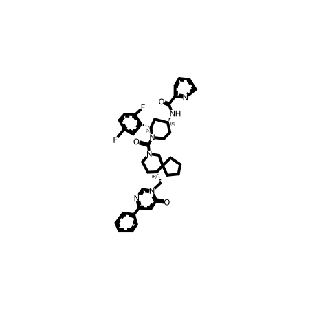 O=C(N[C@@H]1CCN(C(=O)N2CC[C@@H](Cn3cnc(-c4ccccc4)cc3=O)C3(CCCC3)C2)[C@H](c2cc(F)ccc2F)C1)c1ccccn1